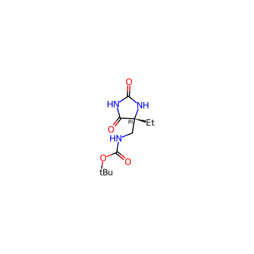 CC[C@]1(CNC(=O)OC(C)(C)C)NC(=O)NC1=O